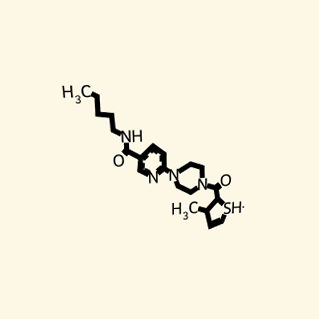 CCCCCNC(=O)c1ccc(N2CCN(C(=O)C3[SH]C=CC3C)CC2)nc1